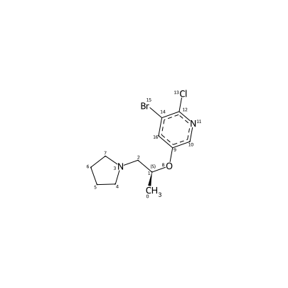 C[C@@H](CN1CCCC1)Oc1cnc(Cl)c(Br)c1